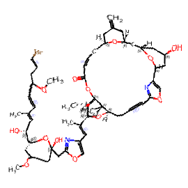 C=C1C[C@@H]2C[C@@H]3C[C@@H](O)C[C@@H](O3)c3coc(n3)/C=C/C[C@H]3O[C@@H](/C(C)=C/c4coc(C[C@]5(O)CC(OC)C[C@H]([C@H](O)/C=C(C)/C=C/C(C/C=C/Br)OC)O5)n4)[C@H](C)[C@@H](OC(=O)/C=C\C[C@@H](C1)O2)[C@H]3C